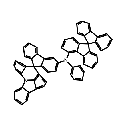 c1ccc(N(c2ccc3c(c2)-c2ccccc2C32c3ccccc3-n3c4ccccc4c4cccc2c43)c2cccc3c2-c2ccccc2C32c3ccccc3-c3ccccc32)cc1